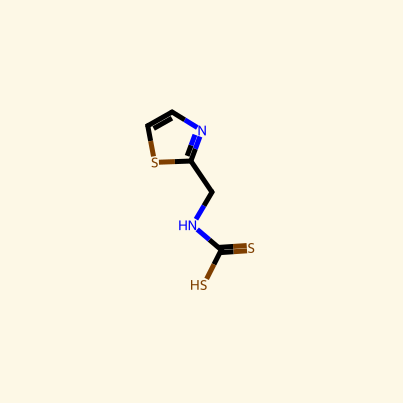 S=C(S)NCc1nccs1